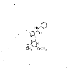 COc1cc(OC)nc(Cc2nscc2C(=O)Nc2ccccc2)n1